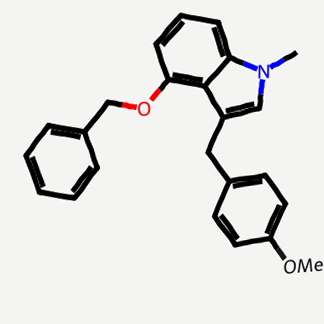 COc1ccc(Cc2cn(C)c3cccc(OCc4ccccc4)c23)cc1